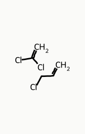 C=C(Cl)Cl.C=CCCl